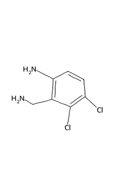 NCc1c(N)ccc(Cl)c1Cl